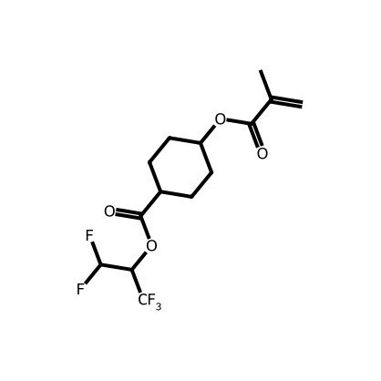 C=C(C)C(=O)OC1CCC(C(=O)OC(C(F)F)C(F)(F)F)CC1